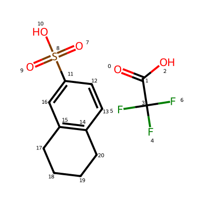 O=C(O)C(F)(F)F.O=S(=O)(O)c1ccc2c(c1)CCCC2